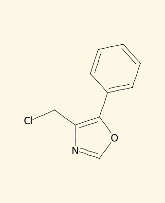 ClCc1ncoc1-c1ccccc1